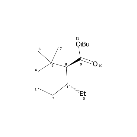 CC[C@@H]1CCCC(C)(C)[C@H]1C(=O)OCC(C)C